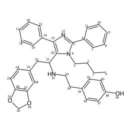 CCCCn1c(-c2ccccc2)nc(-c2ccccc2)c1C(Cc1ccc2c(c1)OCO2)NCCc1ccc(O)cc1